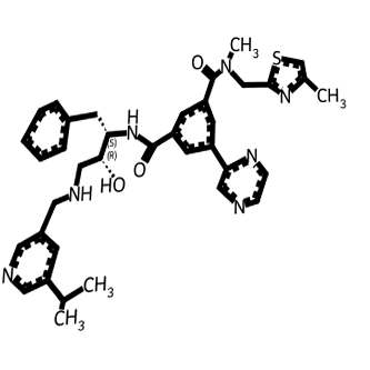 Cc1csc(CN(C)C(=O)c2cc(C(=O)N[C@@H](Cc3ccccc3)[C@H](O)CNCc3cncc(C(C)C)c3)cc(-c3cnccn3)c2)n1